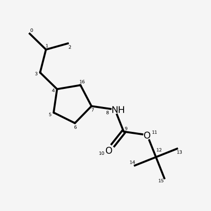 CC(C)CC1CCC(NC(=O)OC(C)(C)C)C1